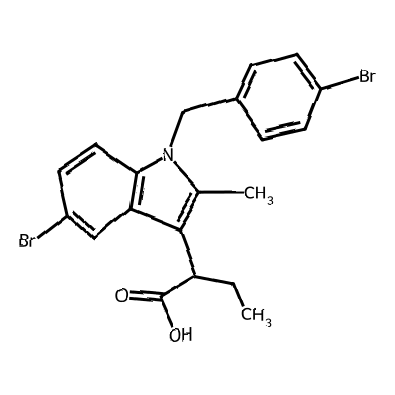 CCC(C(=O)O)c1c(C)n(Cc2ccc(Br)cc2)c2ccc(Br)cc12